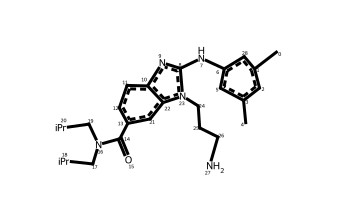 Cc1cc(C)cc(Nc2nc3ccc(C(=O)N(CC(C)C)CC(C)C)cc3n2CCCN)c1